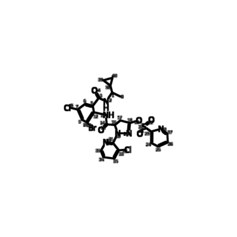 CC(NC(=O)c1cc(Cl)cc(Br)c1NC(=O)C1CC(OS(=O)(=O)c2ccccn2)=NN1c1ncccc1Cl)C1CC1